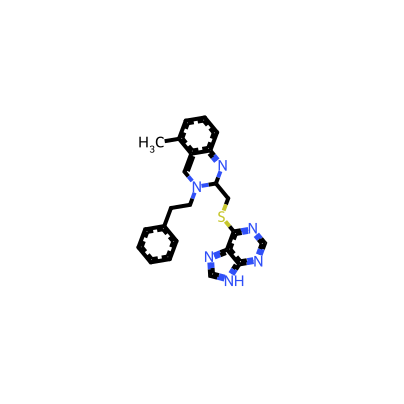 Cc1cccc2c1=CN(CCc1ccccc1)C(CSc1ncnc3[nH]cnc13)N=2